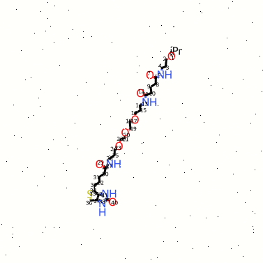 CC(C)OCCCNC(=O)CCCC(=O)NCCCOCCOCCOCCCNC(=O)CCCC[C@@H]1SCC2NC(=O)NC21